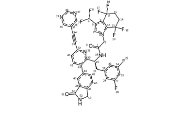 O=C(Cn1cc(C(F)F)c2c1C(F)(F)CCC2(F)F)N[C@@H](Cc1cc(F)cc(F)c1)c1nc(C#Cc2cncnc2)ccc1-c1ccc2c(c1)C(=O)NC2